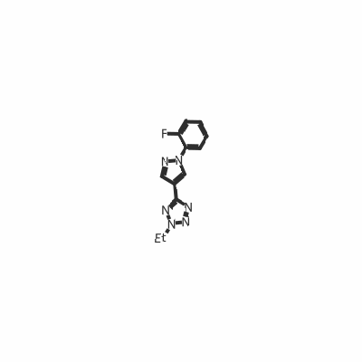 CCn1nnc(-c2cnn(-c3ccccc3F)c2)n1